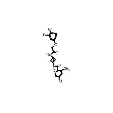 Cc1cc(Cl)cnc1C(=O)NC12CC(NC(=O)COc3ccc(Cl)c(F)c3)(C1)C2